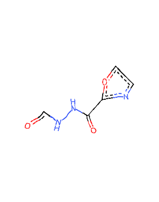 O=CNNC(=O)c1ncco1